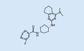 CN(C)c1nc(N[C@H]2CC[C@@H](NC(=O)c3cccc(F)c3)CC2)nc2c1CCCC2